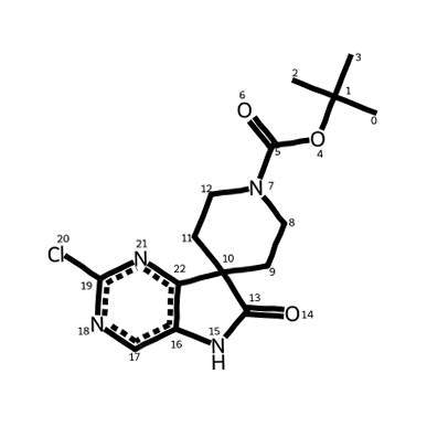 CC(C)(C)OC(=O)N1CCC2(CC1)C(=O)Nc1cnc(Cl)nc12